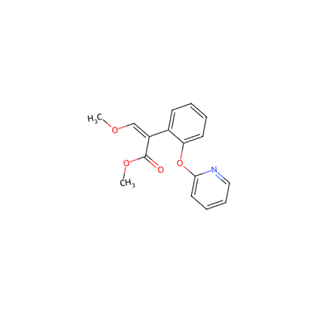 COC=C(C(=O)OC)c1ccccc1Oc1ccccn1